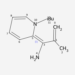 C=C(C)/C(N)=C1/C=CC=CN1C(C)CC